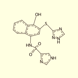 O=S(=O)(Nc1cc(Sc2nc[nH]n2)c(O)c2ccccc12)c1c[nH]cn1